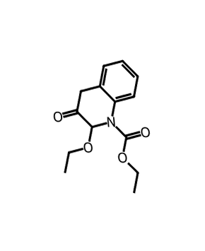 CCOC(=O)N1c2ccccc2CC(=O)C1OCC